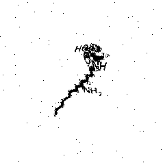 CCCCCCCCC(N)CCCCCNC(C)S(=O)(=O)O